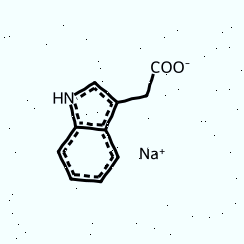 O=C([O-])Cc1c[nH]c2ccccc12.[Na+]